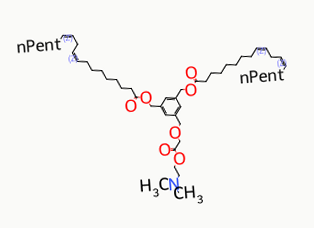 CCCCC/C=C\C/C=C\CCCCCCCC(=O)OCc1cc(COCC(=O)OCCN(C)C)cc(COC(=O)CCCCCCC/C=C\C/C=C\CCCCC)c1